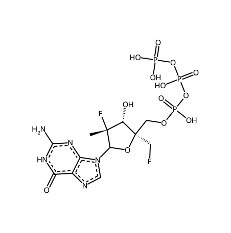 C[C@]1(F)C(n2cnc3c(=O)[nH]c(N)nc32)O[C@](CF)(COP(=O)(O)OP(=O)(O)OP(=O)(O)O)[C@H]1O